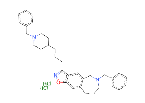 Cl.Cl.c1ccc(CN2CCC(CCCc3noc4cc5c(cc34)CN(Cc3ccccc3)CCC5)CC2)cc1